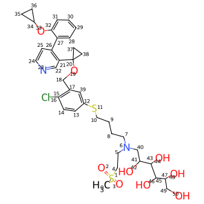 CS(=O)(=O)CCN(CCCCSc1ccc(Cl)c(COC2(c3cnccc3-c3ccccc3OC3CC3)CC2)c1)CC(O)C(O)C(O)C(O)CO